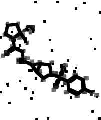 N#C[C@@]1(I)CCCN1C(=O)CNC1C2CN(S(=O)(=O)c3ccc(F)cc3)CC21